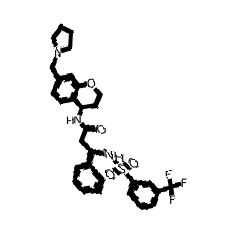 O=C(CC(NS(=O)(=O)c1cccc(C(F)(F)F)c1)c1ccccc1)NC1CCOc2cc(CN3CCCC3)ccc21